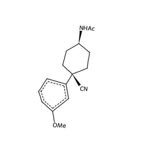 COc1cccc([C@]2(C#N)CC[C@@H](NC(C)=O)CC2)c1